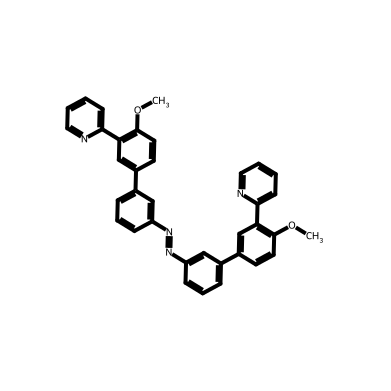 COc1ccc(-c2cccc(/N=N/c3cccc(-c4ccc(OC)c(-c5ccccn5)c4)c3)c2)cc1-c1ccccn1